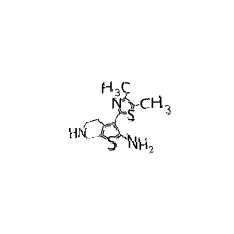 Cc1nc(-c2c(N)sc3c2CCNC3)sc1C